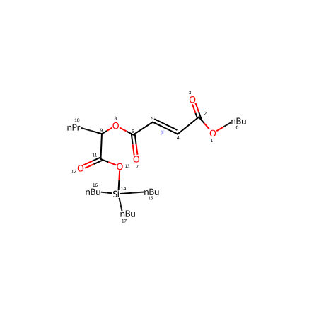 CCCCOC(=O)/C=C/C(=O)OC(CCC)C(=O)O[Si](CCCC)(CCCC)CCCC